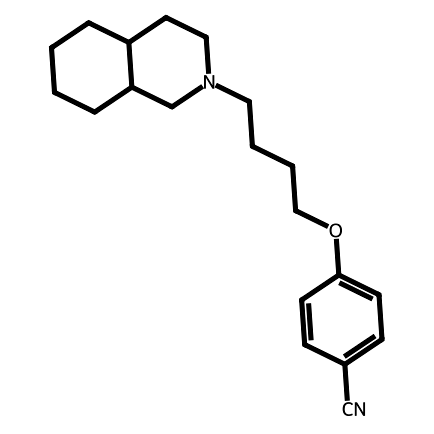 N#Cc1ccc(OCCCCN2CCC3CCCCC3C2)cc1